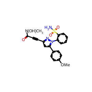 COc1ccc(-c2cc(C#CC(=O)N(C)O)nn2-c2ccccc2S(N)(=O)=O)cc1